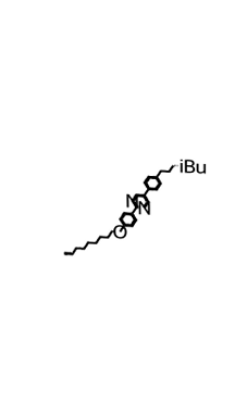 C=CCCCCCCCOc1ccc(-c2ncc(-c3ccc(CCC[C@@H](C)CC)cc3)cn2)cc1